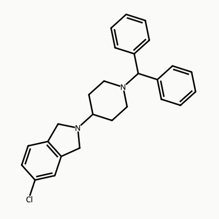 Clc1ccc2c(c1)CN(C1CCN(C(c3ccccc3)c3ccccc3)CC1)C2